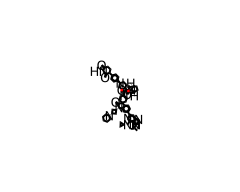 CC(C)n1cnc2cc(-c3ccc4c(c3)N([C@H]3C[C@@H](N5CCCCC5)C3)C(=O)C43CCN(C(=O)[C@H]4C[C@H]5CC[C@@H](C4)N5C(=O)C4CCN(c5ccc(C6CCC(=O)NC6=O)cc5)CC4)CC3)nc(NC3CC3)c21